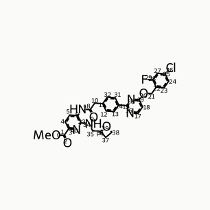 COC(=O)c1ccc(NC(=O)Cc2ccc(-c3nccc(OCc4ccc(Cl)cc4F)n3)cc2)c(NC[C@@H]2CCO2)n1